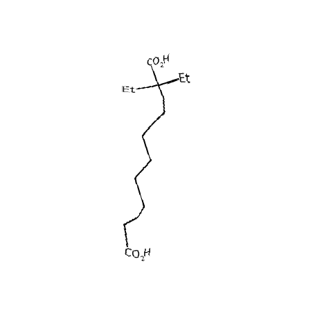 CCC(CC)(CCCCCCC(=O)O)C(=O)O